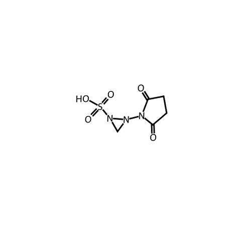 O=C1CCC(=O)N1N1CN1S(=O)(=O)O